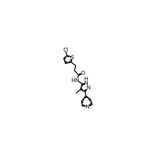 Cc1c(-c2ccncc2)n[nH]c1NC(=O)CCc1ccc(Cl)s1